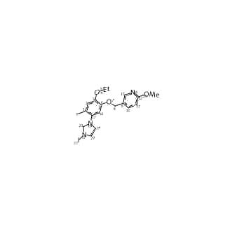 [CH2]c1cc(OCC)c(OCc2ccc(OC)nc2)cc1N1C=CN(I)C1